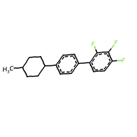 CC1CCC(c2ccc(-c3ccc(F)c(F)c3F)cc2)CC1